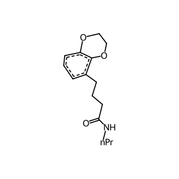 CCCNC(=O)CCCc1cccc2c1OCCO2